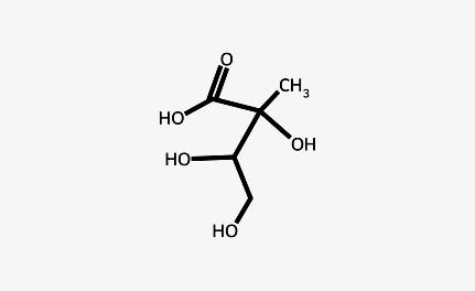 CC(O)(C(=O)O)C(O)CO